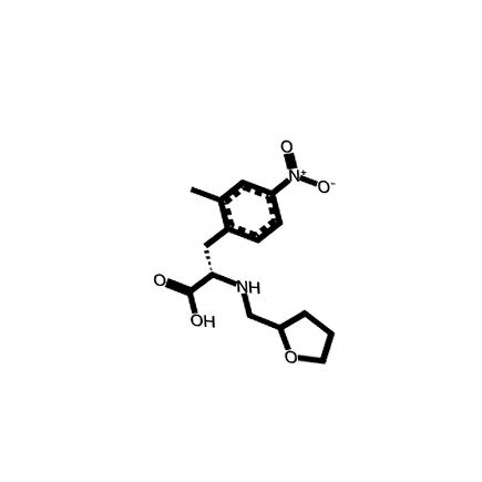 Cc1cc([N+](=O)[O-])ccc1C[C@H](NCC1CCCO1)C(=O)O